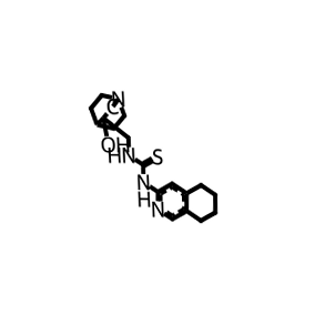 OC1(CNC(=S)Nc2cc3c(cn2)CCCC3)CN2CCC1CC2